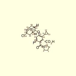 O=C(O)[C@@H]1CCCN1C(=O)c1cc(C2CC2)c(OC2[C@@H]3CC4C[C@H]2CC(Cl)(C4)C3)cc1F